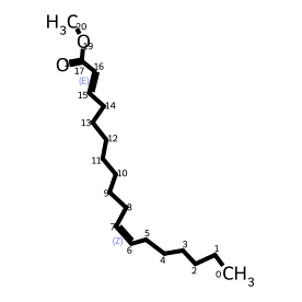 CCCCCC/C=C\CCCCCCC/C=C/C(=O)OC